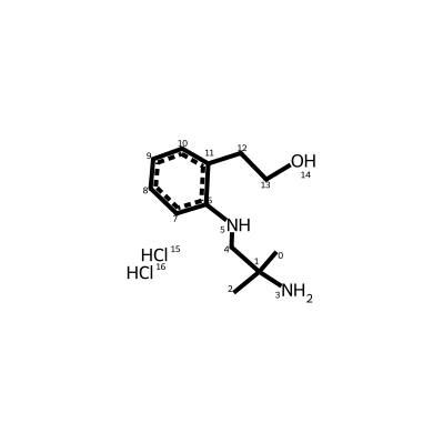 CC(C)(N)CNc1ccccc1CCO.Cl.Cl